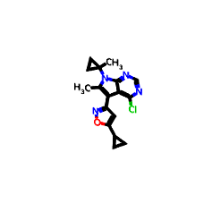 Cc1c(-c2cc(C3CC3)on2)c2c(Cl)ncnc2n1C1(C)CC1